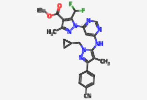 Cc1nn(-c2cc(Nc3c(C)c(-c4ccc(C#N)cc4)nn3CC3CC3)ncn2)c(C(F)F)c1C(=O)OC(C)(C)C